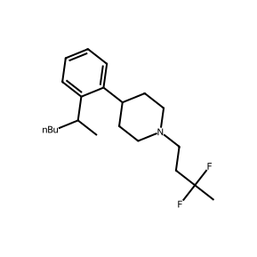 CCCCC(C)c1ccccc1C1CCN(CCC(C)(F)F)CC1